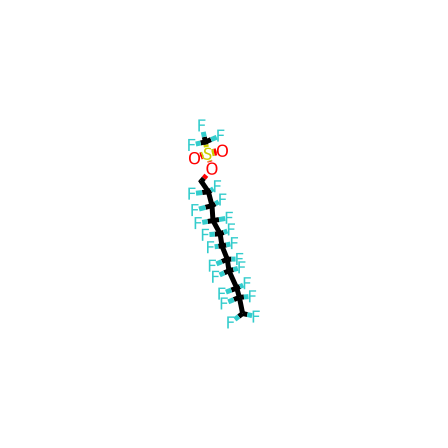 O=S(=O)(OCC(F)(F)C(F)(F)C(F)(F)C(F)(F)C(F)(F)C(F)(F)C(F)(F)C(F)(F)C(F)(F)C(F)F)C(F)(F)F